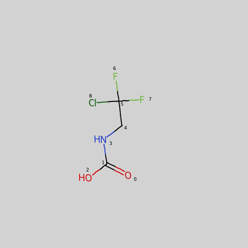 O=C(O)NCC(F)(F)Cl